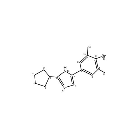 Cc1cc(-c2cnc(C3CCCC3)[nH]2)cc(C)c1Br